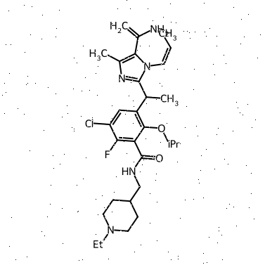 C=C(N)c1c(C)nc(C(C)c2cc(Cl)c(F)c(C(=O)NCC3CCN(CC)CC3)c2OC(C)C)n1/C=C\C